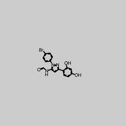 O=CNc1cc(-c2ccc(O)cc2O)nn1-c1ccc(Br)cc1